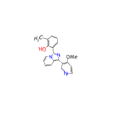 COc1ccncc1-c1nc(-c2cccc(C)c2O)n2ccccc12